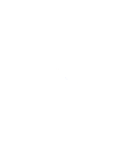 CC=C(C(=O)OC)c1ccccc1CON=C1SCCS1